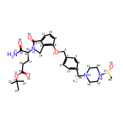 C[C@H](c1ccc(COc2cccc3c2CN([C@@H](CCC(=O)OC(C)(C)C)C(N)=O)C3=O)cc1)N1CCN([S+](C)[O-])CC1